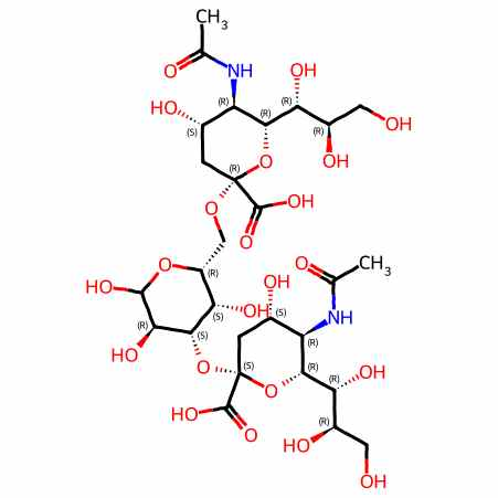 CC(=O)N[C@H]1[C@H]([C@H](O)[C@H](O)CO)O[C@@](O[C@H]2[C@@H](O)[C@@H](CO[C@]3(C(=O)O)C[C@H](O)[C@@H](NC(C)=O)[C@H]([C@H](O)[C@H](O)CO)O3)OC(O)[C@@H]2O)(C(=O)O)C[C@@H]1O